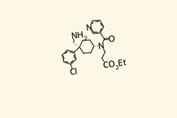 CCOC(=O)CCN(C(=O)c1cccnc1)[C@H]1CC[C@](CN)(c2cccc(Cl)c2)CC1